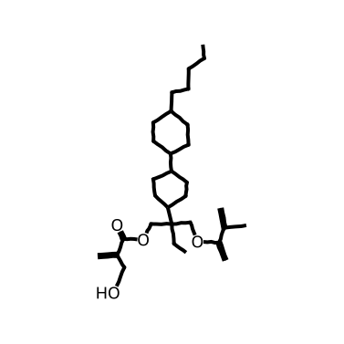 C=C(C)C(=C)OCC(CC)(COC(=O)C(=C)CO)C1CCC(C2CCC(CCCCC)CC2)CC1